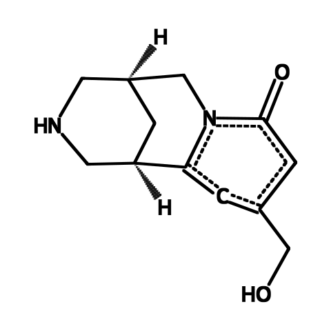 O=c1cc(CO)cc2n1C[C@@H]1CNC[C@H]2C1